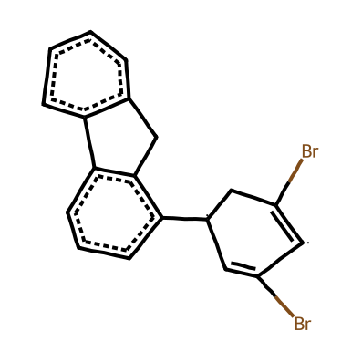 BrC1=[C]C(Br)=C[C](c2cccc3c2Cc2ccccc2-3)C1